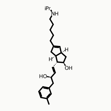 Cc1cccc(C[C@@H](O)/C=C/[C@@H]2[C@H]3CC(CCCCCNC(C)C)=C[C@H]3C[C@H]2O)c1